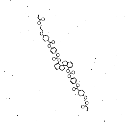 C=CC(=O)OCCCOC1CCC(C(=O)Oc2ccc(OC(=O)Oc3cccc4c3C3(CC4)CCc4cccc(OC(=O)Oc5ccc(OC(=O)C6CCC(OCOC(=O)C=C)CC6)cc5)c43)cc2)CC1